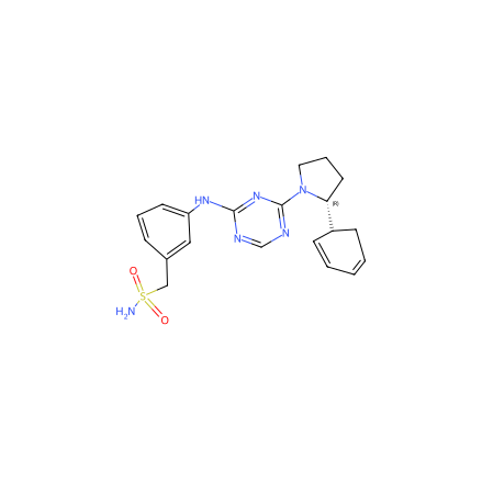 NS(=O)(=O)Cc1cccc(Nc2ncnc(N3CCC[C@@H]3C3C=CC=CC3)n2)c1